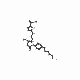 CCCCCCc1ccc(N2C(=O)CC(O)C2CCCc2ccc(C(=O)O)s2)cc1